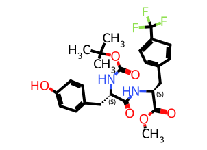 COC(=O)[C@H](Cc1ccc(C(F)(F)F)cc1)NC(=O)[C@H](Cc1ccc(O)cc1)NC(=O)OC(C)(C)C